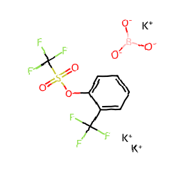 O=S(=O)(Oc1ccccc1C(F)(F)F)C(F)(F)F.[K+].[K+].[K+].[O-]B([O-])[O-]